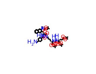 CN(C(=O)OC(C)(C)C)c1cc2ccccc2cc1C[C@@H](NC(=O)C1CCC(CN)CC1)C(=O)NCCCC[C@H](NC(=O)N[C@@H](CCC(=O)OC(C)(C)C)C(=O)OC(C)(C)C)C(=O)OC(C)(C)C